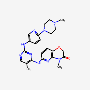 Cc1cnc(Nc2ccc(N3CCN(C)CC3)nc2)nc1Nc1ccc2c(n1)N(C)C(=O)CO2